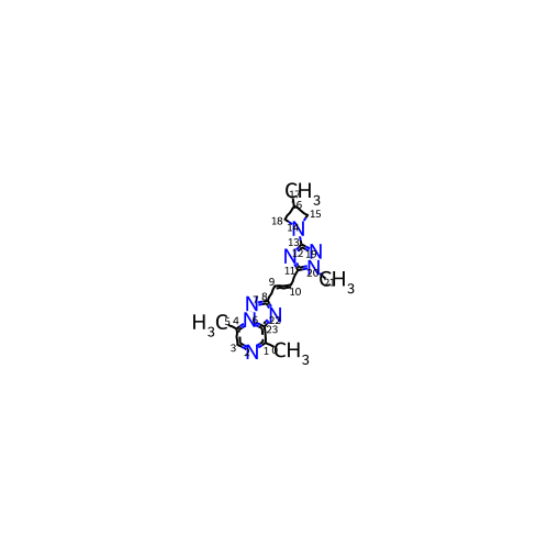 Cc1ncc(C)n2nc(/C=C/c3nc(N4CC(C)C4)nn3C)nc12